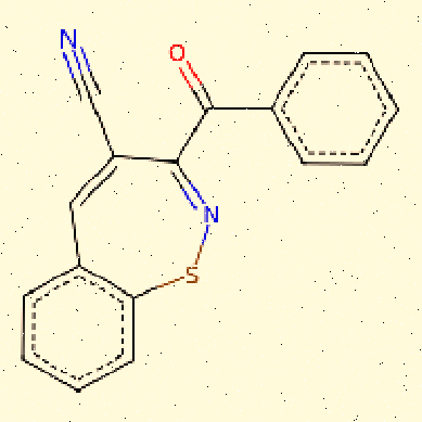 N#CC1=Cc2ccccc2SN=C1C(=O)c1ccccc1